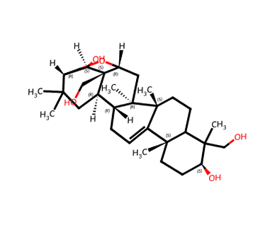 CC1(C)C[C@@H]2[C@H]3CC=C4[C@@]5(C)CC[C@H](O)C(C)(CO)C5CC[C@@]4(C)[C@]3(C)C[C@H]3O[C@H]1[C@@H](O)[C@@]23CO